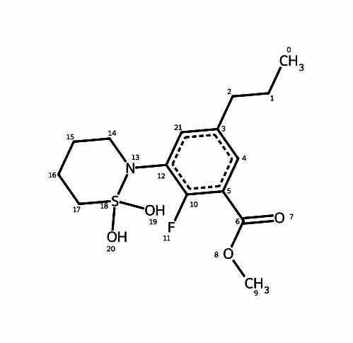 CCCc1cc(C(=O)OC)c(F)c(N2CCCCS2(O)O)c1